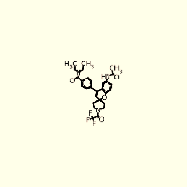 CCN(CC)C(=O)c1ccc(C2=CC3(CCN(C(=O)C(F)(F)F)CC3)Oc3ccc(NC(C)=O)cc32)cc1